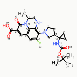 C[C@H]1CNc2c(N3CC[C@@H](C4(NC(=O)OC(C)(C)C)CC4)C3)c(F)cc3cc(C(=O)O)c(=O)n1c23